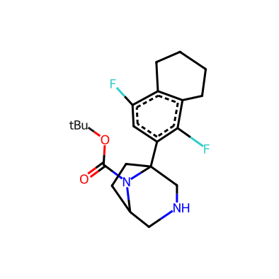 CC(C)(C)OC(=O)N1C2CCC1(c1cc(F)c3c(c1F)CCCC3)CNC2